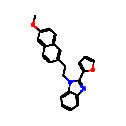 COc1ccc2cc(CCn3c(-c4ccco4)nc4ccccc43)ccc2c1